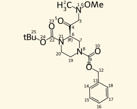 CON(C)CC(=O)[C@H]1CN(C(=O)OCc2ccccc2)CCN1C(=O)OC(C)(C)C